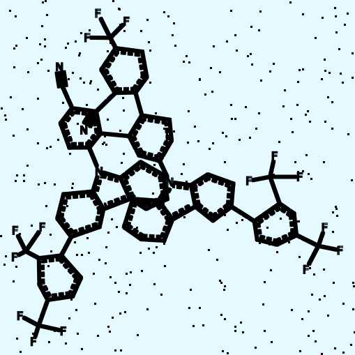 N#Cc1ccc(-n2c3ccccc3c3cc(-c4ccc(C(F)(F)F)cc4C(F)(F)F)ccc32)c(-c2cc(-n3c4ccccc4c4cc(-c5ccc(C(F)(F)F)cc5C(F)(F)F)ccc43)ccc2-c2ccc(C(F)(F)F)cc2C#N)c1